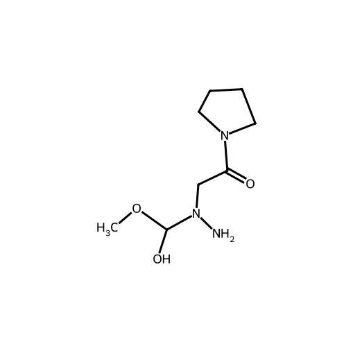 COC(O)N(N)CC(=O)N1CCCC1